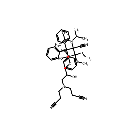 COC(OC)(C(C#N)(N(C(C)C)C(C)C)C(c1ccccc1)(c1ccccc1)c1ccccc1)[PH](O)(O)OCC(O)CN(CCC#N)CCC#N